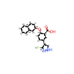 O=C(O)c1cc(-c2c[nH]nc2F)ccc1Oc1ccc2ccccc2c1